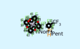 CCCCCCCCC[PH+](CC(C)CCC)c1cc(F)c(F)c(C(F)(F)C(F)(F)F)c1F.FC1=C(F)C([B-](C2C(F)=C(F)c3c(F)c(F)c(F)c(F)c32)(C2C(F)=C(F)c3c(F)c(F)c(F)c(F)c32)C2C(F)=C(F)c3c(F)c(F)c(F)c(F)c32)c2c(F)c(F)c(F)c(F)c21